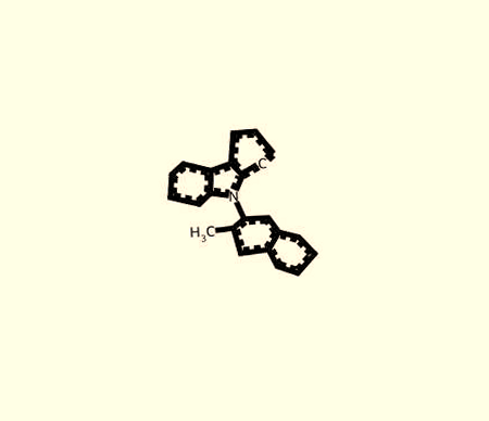 Cc1cc2ccccc2cc1-n1c2ccccc2c2ccccc21